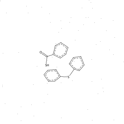 O=C(S)c1ccccc1.c1ccc(Sc2ccccc2)cc1